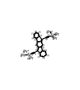 CC(C)[Si](C#CC1=c2cc3c(cc2-c2ccccc21)=C(C#C[Si](C(C)C)(C(C)C)C(C)C)c1ccccc1-3)(C(C)C)C(C)C